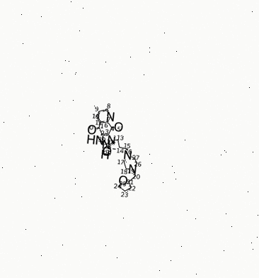 O=C1C2=C(C(=O)c3ncccc31)N(CCCN1CCN(CC3CCCO3)CC1)[NH+]([O-])N2